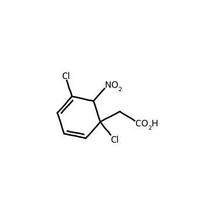 O=C(O)CC1(Cl)C=CC=C(Cl)C1[N+](=O)[O-]